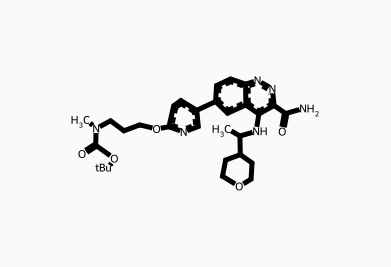 CC(Nc1c(C(N)=O)nnc2ccc(-c3ccc(OCCCN(C)C(=O)OC(C)(C)C)nc3)cc12)C1CCOCC1